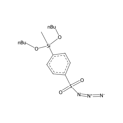 CCCCO[Si](C)(OCCCC)c1ccc(S(=O)(=O)N=[N+]=[N-])cc1